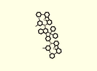 Cc1cc(C)cc(N(c2ccc3c(c2)C(c2ccccc2)(c2ccccc2)c2cc(N(c4cc(C)cc(C)c4)c4cccc5c4oc4c(-c6ccccc6)cccc45)c4ccccc4c2-3)c2cccc3c2oc2c(-c4ccccc4)cccc23)c1